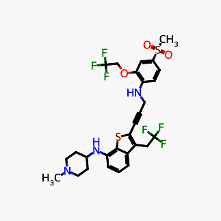 CN1CCC(Nc2cccc3c(CC(F)(F)F)c(C#CCNc4ccc(S(C)(=O)=O)cc4OCC(F)(F)F)sc23)CC1